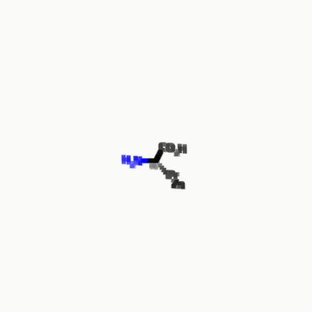 CC(C)[C@H](N)C(=O)O.[Zn]